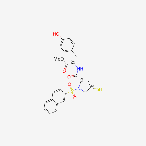 COC(=O)[C@H](Cc1ccc(O)cc1)NC(=O)[C@@H]1C[C@H](S)CN1S(=O)(=O)c1ccc2ccccc2c1